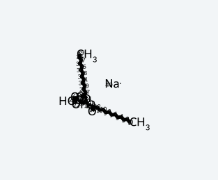 CCCCCCCCCCCCCC(=O)OC[C@H](COP(=O)(O)O)OC(=O)CCCCCCCCCCCCC.[Na]